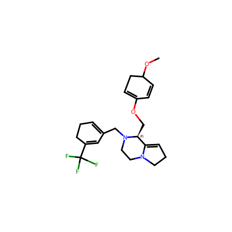 COC1C=CC(OC[C@H]2C3=CCCN3CCN2CC2=CCCC(C(F)(F)F)=C2)=CC1